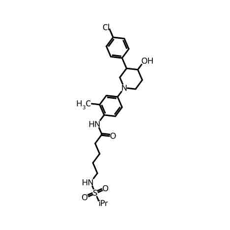 Cc1cc(N2CCC(O)C(c3ccc(Cl)cc3)C2)ccc1NC(=O)CCCCNS(=O)(=O)C(C)C